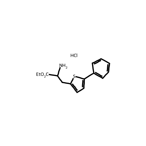 CCOC(=O)C(N)Cc1ccc(-c2ccccc2)s1.Cl